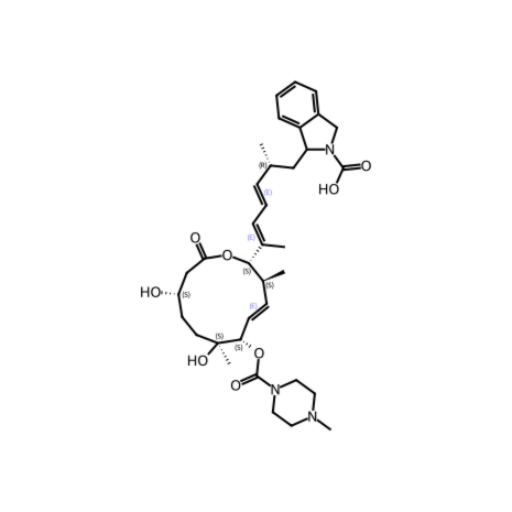 C/C(=C\C=C\[C@H](C)CC1c2ccccc2CN1C(=O)O)[C@H]1OC(=O)C[C@@H](O)CC[C@](C)(O)[C@@H](OC(=O)N2CCN(C)CC2)/C=C/[C@@H]1C